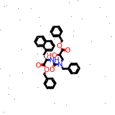 O=C(OCc1ccccc1)C(O)CN(Cc1ccccc1)C(=O)N[C@@H](Cc1cccc2ccccc12)C(=O)OCc1ccccc1